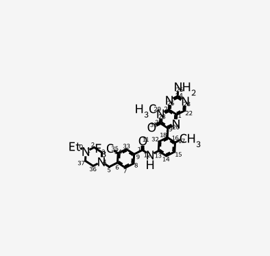 CCN1CCN(Cc2ccc(C(=O)Nc3ccc(C)c(-c4nc5cnc(N)nc5n(C)c4=O)c3)cc2C(F)(F)F)CC1